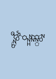 C/N=C/c1cc2cnc(Nc3ccc(-c4csc5c(=O)cc(N6CCOCC6)oc45)cc3)nc2n(C2CCCC2)c1=O